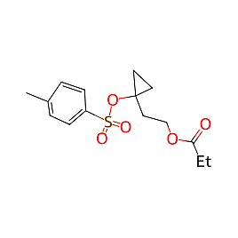 CCC(=O)OCCC1(OS(=O)(=O)c2ccc(C)cc2)CC1